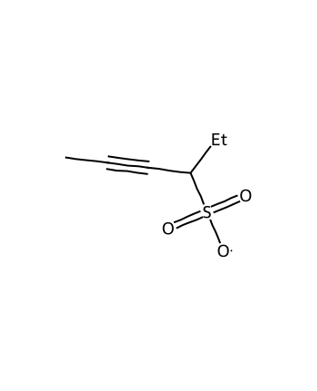 CC#CC(CC)S([O])(=O)=O